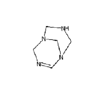 C1=NCN2CNCN1C2